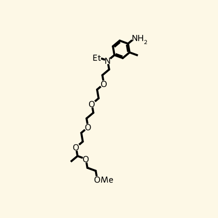 CCN(CCOCCOCCOCCOC(C)OCCOC)c1ccc(N)c(C)c1